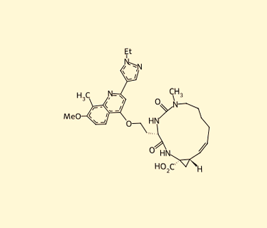 CCn1cc(-c2cc(OCC[C@@H]3NC(=O)N(C)CCCCC=C[C@@H]4C[C@@]4(C(=O)O)NC3=O)c3ccc(OC)c(C)c3n2)cn1